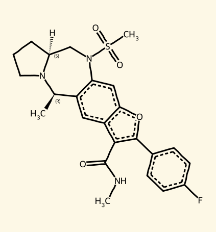 CNC(=O)c1c(-c2ccc(F)cc2)oc2cc3c(cc12)[C@@H](C)N1CCC[C@H]1CN3S(C)(=O)=O